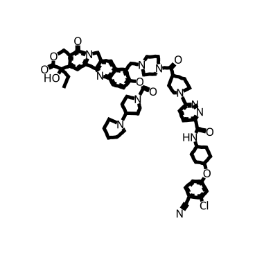 CCC1(O)C(=O)OCc2c1cc1n(c2=O)Cc2cc3c(CN4CCN(C(=O)C5CCN(c6ccc(C(=O)NC7CCC(Oc8ccc(C#N)c(Cl)c8)CC7)nn6)CC5)CC4)c(OC(=O)N4CCC(N5CCCCC5)CC4)ccc3nc2-1